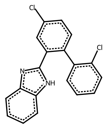 Clc1ccc(-c2ccccc2Cl)c(-c2nc3ccccc3[nH]2)c1